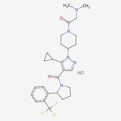 CN(C)CC(=O)N1CCC(n2ncc(C(=O)N3CCCC3c3ccccc3C(F)(F)F)c2C2CC2)CC1.Cl